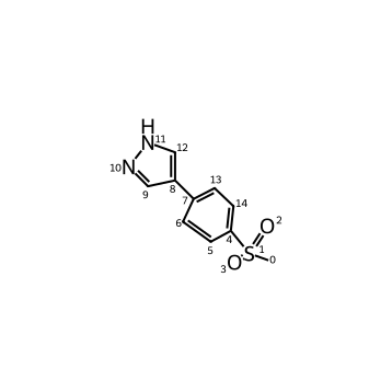 CS(=O)(=O)c1ccc(-c2cn[nH]c2)cc1